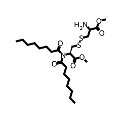 CCCCCCCC(=O)N(C(=O)CCCCCCC)[C@@H](CSSCC(N)C(=O)OC)C(=O)OC